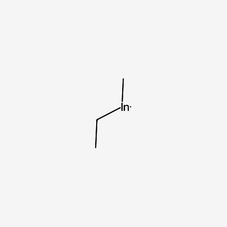 C[CH2][In][CH3]